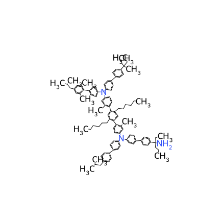 CCCCCCc1cc(-c2ccc(N(c3ccc(-c4ccc(C(C)(CC)CC)cc4)cc3)c3ccc(-c4c(C)cc(CC(C)C)cc4C)cc3)cc2C)c(CCCCCC)cc1-c1ccc(N(c2ccc(-c3ccc(CC(C)C)cc3)cc2)c2ccc(-c3ccc(C(N)(CC)CCC)cc3)cc2)cc1C